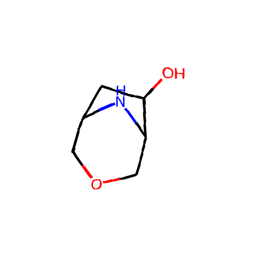 OC1CC2COCC1N2